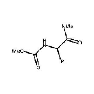 CNC(=O)C(NC(=O)OC)C(C)C